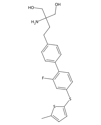 Cc1ccc(Sc2ccc(-c3ccc(CCC(N)(CO)CO)cc3)c(F)c2)s1